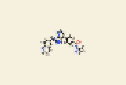 O=C(NC1CCC1)c1ccc(-c2ccnc3c2nnn3Cc2ccc3ncccc3c2)cc1F